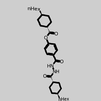 CCCCCC[C@H]1CC[C@H](C(=O)NNC(=O)c2ccc(OC(=O)[C@H]3CC[C@H](CCCCCC)CC3)cc2)CC1